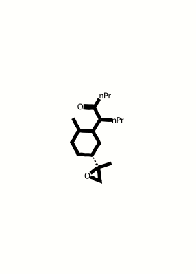 CCCC(=O)C(CCC)C1C[C@H](C2(C)CO2)CCC1C